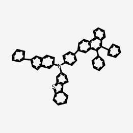 c1ccc(-c2ccc3cc(N(c4ccc(-c5ccc6c(c5)c(-c5ccccc5)c(-c5ccccc5)c5ccccc56)cc4)c4ccc5c(c4)sc4ccccc45)ccc3c2)cc1